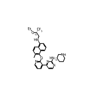 CCO[C@@H](CNc1cccc2c(Oc3ncccc3-c3ccnc(N[C@H]4CCCNC4)n3)c(C)ccc12)C(F)(F)F